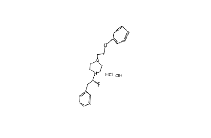 Cl.Cl.FC(Cc1ccccc1)N1CCN(CCOc2ccccc2)CC1